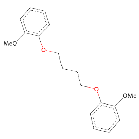 COc1ccccc1OCCCCOc1ccccc1OC